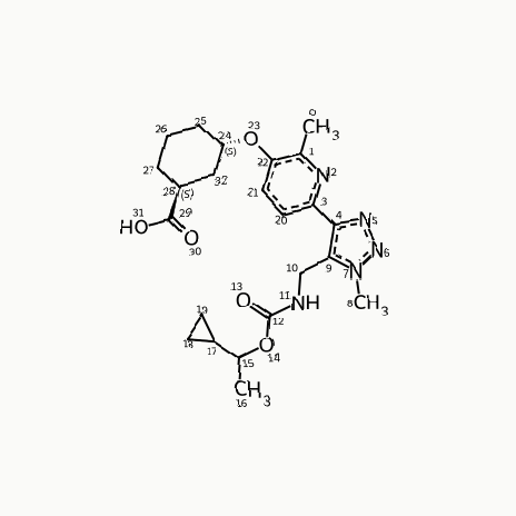 Cc1nc(-c2nnn(C)c2CNC(=O)OC(C)C2CC2)ccc1O[C@H]1CCC[C@H](C(=O)O)C1